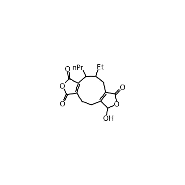 CCCC1C2=C(CCC3=C(CC1CC)C(=O)OC3O)C(=O)OC2=O